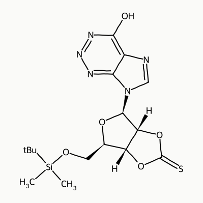 CC(C)(C)[Si](C)(C)OC[C@H]1O[C@@H](n2cnc3c(O)nnnc32)[C@@H]2OC(=S)O[C@@H]21